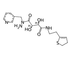 NN(Cc1cccnc1)C(=O)[C@H](O)[C@@H](O)C(=O)NCCC1=CCCS1